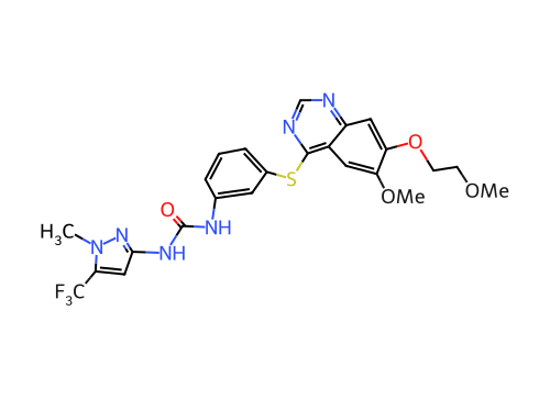 COCCOc1cc2ncnc(Sc3cccc(NC(=O)Nc4cc(C(F)(F)F)n(C)n4)c3)c2cc1OC